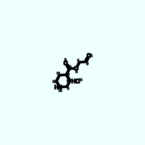 Cl.O=CCOC(=O)C1CCNCC1